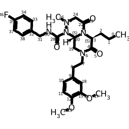 CCC[C@H]1C(=O)N(CCc2ccc(OC)c(OC)c2)C[C@H]2N1C(=O)CN(C)N2C(=O)NCc1ccc(F)cc1